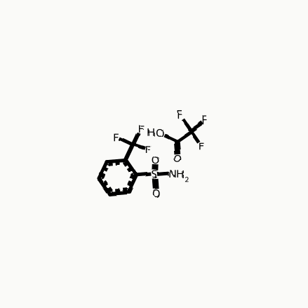 NS(=O)(=O)c1ccccc1C(F)(F)F.O=C(O)C(F)(F)F